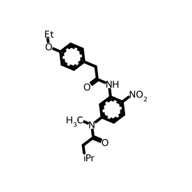 CCOc1ccc(CC(=O)Nc2cc(N(C)C(=O)CC(C)C)ccc2[N+](=O)[O-])cc1